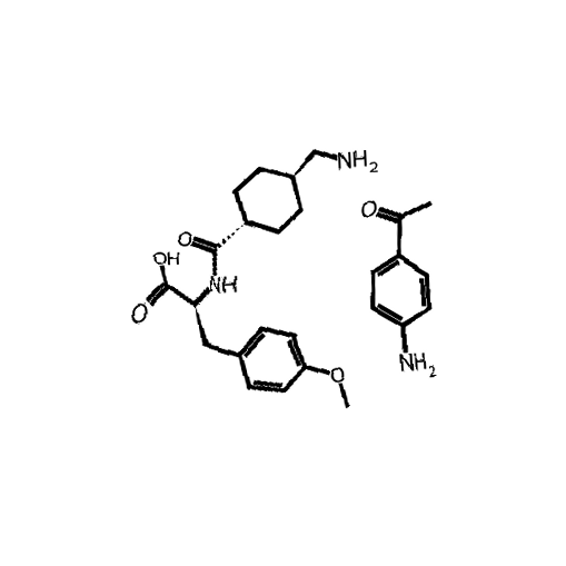 CC(=O)c1ccc(N)cc1.COc1ccc(C[C@H](NC(=O)[C@H]2CC[C@H](CN)CC2)C(=O)O)cc1